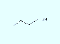 [CH2]CCC.[LiH]